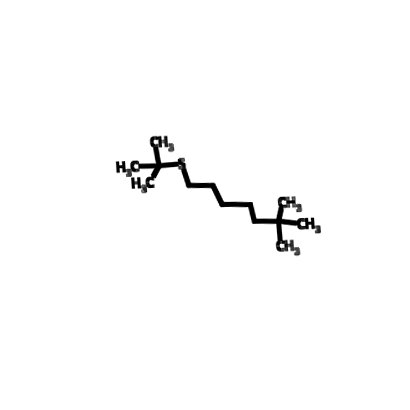 CC(C)(C)CCCCCSC(C)(C)C